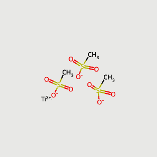 CS(=O)(=O)[O-].CS(=O)(=O)[O-].CS(=O)(=O)[O-].[Ti+3]